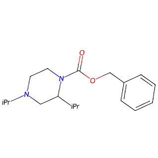 CC(C)C1CN(C(C)C)CCN1C(=O)OCc1ccccc1